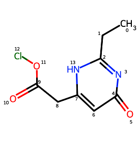 CCc1nc(=O)cc(CC(=O)OCl)[nH]1